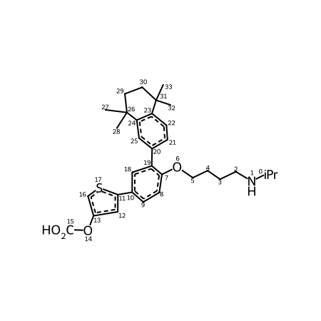 CC(C)NCCCCOc1ccc(-c2cc(OC(=O)O)cs2)cc1-c1ccc2c(c1)C(C)(C)CCC2(C)C